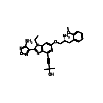 CCn1c(-c2nonc2N)nc2c(C#CC(C)(C)O)nc(OC[C@H](N)Cc3ccccc3OC)cc21